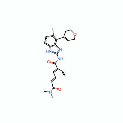 C=C/C(=C\C=C\C(=O)N(C)C)C(=O)Nc1nc2c(C3=CCOCC3)c(F)ccc2[nH]1